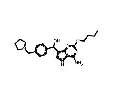 CCCCOc1nc(N)c2[nH]cc(C(O)c3ccc(CN4CCCC4)cc3)c2n1